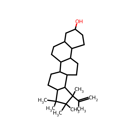 C=C(C)C1(C)C2C3CCC4C5CCC(O)CC5CCC4C3CCC2C(C)(C)C1(C)C